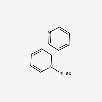 CCCCCCN1C=CC=CC1.c1ccncc1